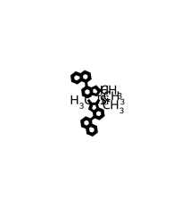 CC1=Cc2c(-c3cccc4ccccc34)cccc2[CH]1[Ti]([CH]1C(C)=Cc2c(-c3cccc4ccccc34)cccc21)[SiH](C)C